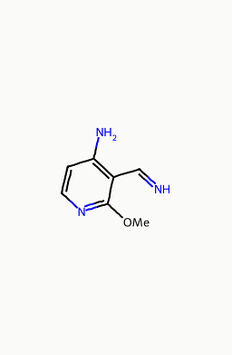 COc1nccc(N)c1C=N